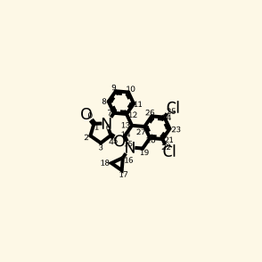 O=C1CCC(=O)N1c1ccccc1C1CN(C2CC2)Cc2c(Cl)cc(Cl)cc21